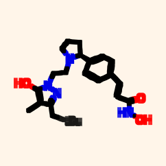 Cc1c(CC(C)(C)C)nn(CCN2CCC[C@H]2c2ccc(C=CC(=O)NO)cc2)c1O